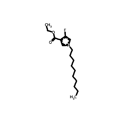 CCCCCCCCCCn1cc(F)c(C(=O)OCC)c1